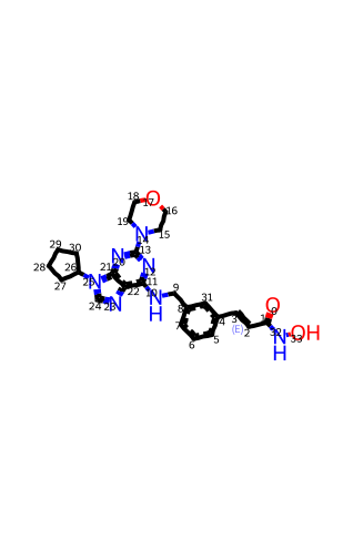 O=C(/C=C/c1cccc(CNc2nc(N3CCOCC3)nc3c2ncn3C2CCCC2)c1)NO